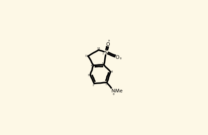 CNc1ccc2c(c1)S(=O)(=O)CC2